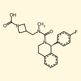 CN(CC1CN(C(=O)O)C1)C(=O)N1CCc2ccccc2[C@@H]1c1ccc(F)cc1